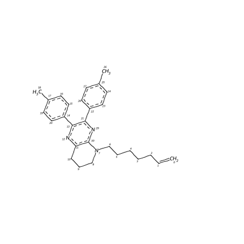 C=CCCCCCN1CCCc2nc(-c3ccc(C)cc3)c(-c3ccc(C)cc3)nc21